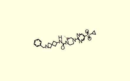 C[C@@H]1CN(c2ncc(S(=O)(=O)C3CC3)cn2)CCN1C(=O)NC1CC2(C1)CN(Cc1ccccc1)C2